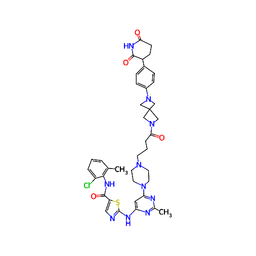 Cc1nc(Nc2ncc(C(=O)Nc3c(C)cccc3Cl)s2)cc(N2CCN(CCCC(=O)N3CC4(C3)CN(c3ccc(C5CCC(=O)NC5=O)cc3)C4)CC2)n1